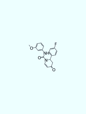 COc1cccc(NC(=O)N2C=CC(=O)CC2c2ccc(F)cc2)c1